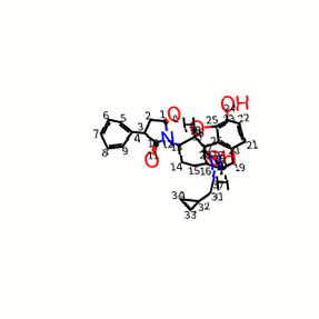 O=C1CC(c2ccccc2)C(=O)N1[C@@H]1CCC2(O)[C@H]3Cc4ccc(O)c5c4[C@@]2(CCN3CC2CC2)[C@H]1O5